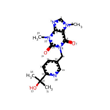 Cn1cnc2c1c(=O)n(Cc1ccc(C(C)(C)O)nc1)c(=O)n2C